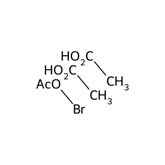 CC(=O)O.CC(=O)O.CC(=O)OBr